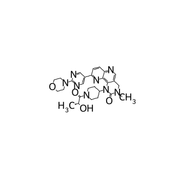 C[C@H](O)C(=O)N1CCC(N2C(=O)N(C)Cc3cnc4ccc(-c5cnc(N6CCOCC6)nc5)nc4c32)CC1